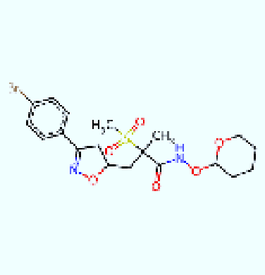 CC(CC1CC(c2ccc(Br)cc2)=NO1)(C(=O)NOC1CCCCO1)S(C)(=O)=O